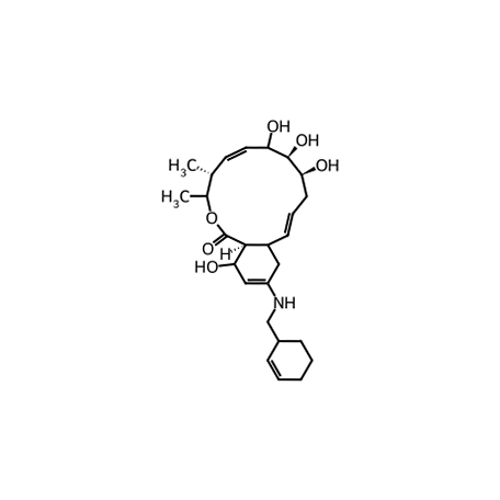 CC1OC(=O)[C@@H]2C(O)C=C(NCC3C=CCCC3)CC2/C=C/C[C@H](O)[C@H](O)C(O)/C=C\[C@H]1C